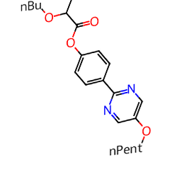 CCCCCOc1cnc(-c2ccc(OC(=O)C(C)OCCCC)cc2)nc1